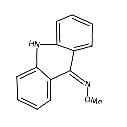 CON=c1c2ccccc2[nH]c2ccccc12